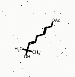 CC(=O)OCC=CCC=CC(C)(C)O